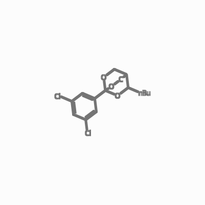 CCCCC1OC2(c3cc(Cl)cc(Cl)c3)OCC1CO2